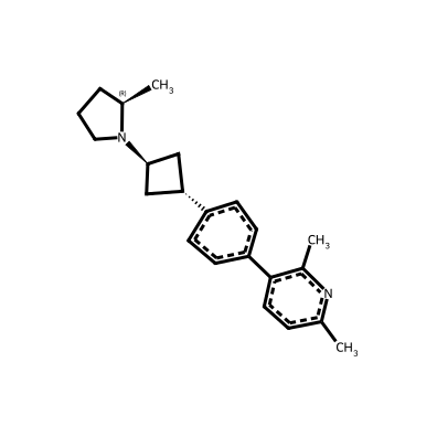 Cc1ccc(-c2ccc([C@H]3C[C@H](N4CCC[C@H]4C)C3)cc2)c(C)n1